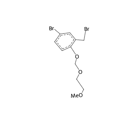 COCCOCOc1ccc(Br)cc1CBr